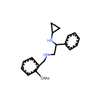 COc1ccccc1CNCC(NC1CC1)c1ccccc1